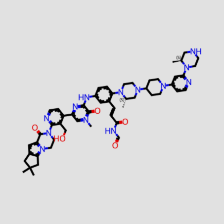 C[C@H]1CNCCN1c1cc(N2CCC(N3CCN(c4ccc(Nc5nc(-c6ccnc(N7CCn8c(cc9c8CC(C)(C)C9)C7=O)c6CO)cn(C)c5=O)cc4C=CC(=O)NC=O)[C@@H](C)C3)CC2)ccn1